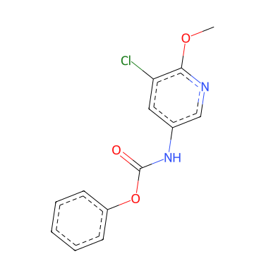 COc1ncc(NC(=O)Oc2ccccc2)cc1Cl